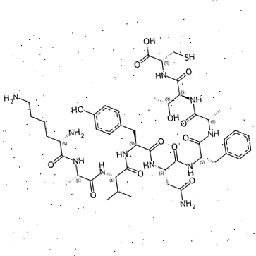 CC(C)[C@H](NC(=O)[C@H](C)NC(=O)[C@@H](N)CCCCN)C(=O)N[C@@H](Cc1ccc(O)cc1)C(=O)N[C@@H](CC(N)=O)C(=O)N[C@@H](Cc1ccccc1)C(=O)N[C@@H](C)C(=O)N[C@H](C(=O)N[C@@H](CS)C(=O)O)[C@@H](C)O